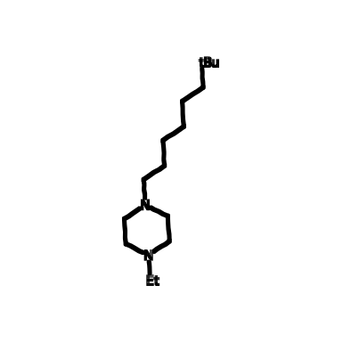 CCN1CCN(CCCCCCC(C)(C)C)CC1